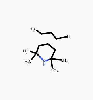 CC1(C)CCCC(C)(C)N1.[Li][CH2]CCC